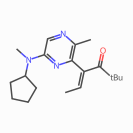 C/C=C(/C(=O)C(C)(C)C)c1nc(N(C)C2CCCC2)cnc1C